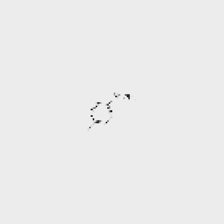 Cc1ccc(N=[PH3])cc1